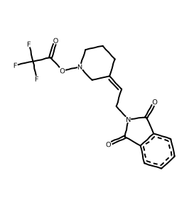 O=C1c2ccccc2C(=O)N1C/C=C1/CCCN(OC(=O)C(F)(F)F)C1